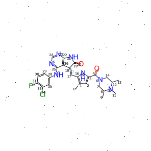 Cc1cc(C(=O)N2CC(C)N(C)C(C)C2)[nH]c1/C=C1\C(=O)Nc2ncnc(Nc3ccc(F)c(Cl)c3)c21